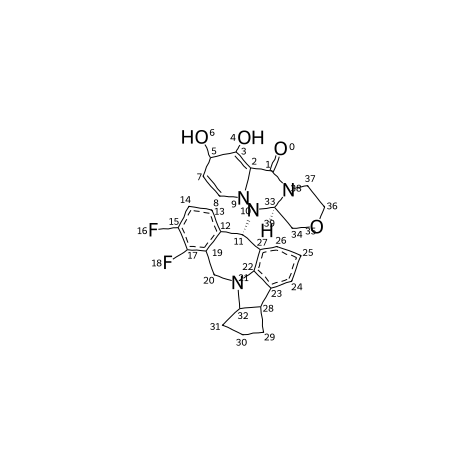 O=C1C2=C(O)C(O)C=CN2N([C@H]2c3ccc(F)c(F)c3CN3c4c(cccc42)C2CCCC23)[C@@H]2COCCN12